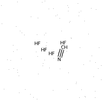 C#N.F.F.F.F